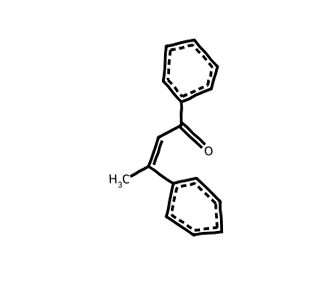 CC(=CC(=O)c1ccccc1)c1ccccc1